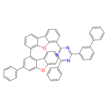 c1ccc(-c2cccc(-c3nc(-c4ccccc4)nc(-c4cccc5c4oc4c(-c6cc(-c7ccccc7)cc7oc8ccccc8c67)cccc45)n3)c2)cc1